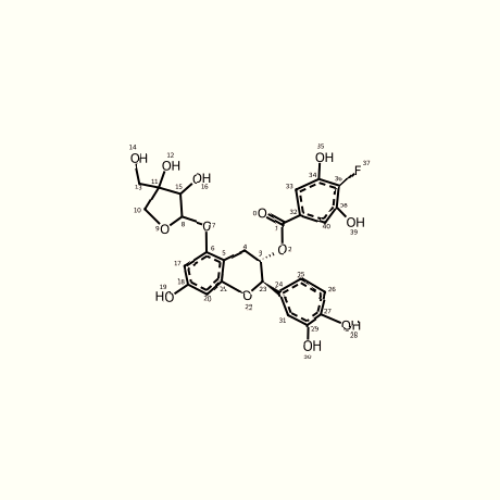 O=C(O[C@H]1Cc2c(OC3OCC(O)(CO)C3O)cc(O)cc2O[C@@H]1c1ccc(O)c(O)c1)c1cc(O)c(F)c(O)c1